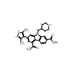 COC(=O)c1ccc2c3c(C(N)=O)cc(-c4c(C)noc4C)cc3n(CC3CCOCC3)c2c1